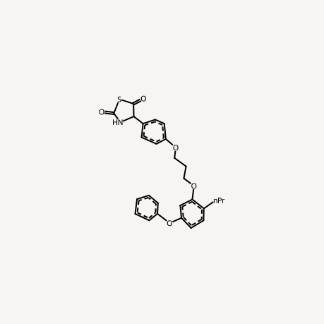 CCCc1ccc(Oc2ccccc2)cc1OCCCOc1ccc(C2NC(=O)SC2=O)cc1